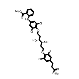 COC(=O)CCc1cc(Cl)c(OCC[C@@H](O)[C@H](O)CCOc2c(Cl)cc(Nc3ccccc3C(=O)OC)cc2Cl)c(Cl)c1